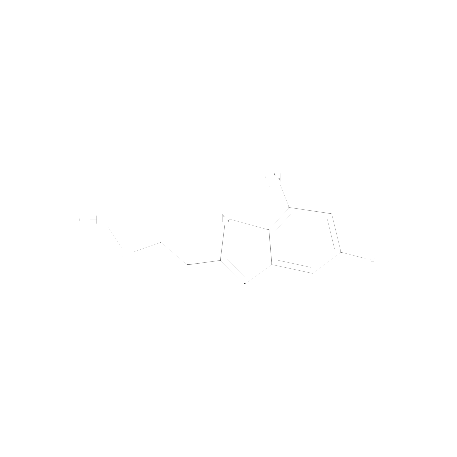 O=COCCc1cc2cc(Br)cc([N+](=O)[O-])c2[nH]1